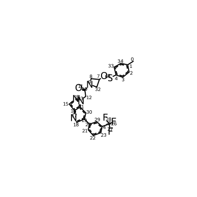 Cc1ccc(SOC2CN(C(=O)Cn3ncc4ncc(-c5cccc(C(F)(F)F)c5)cc43)C2)cc1